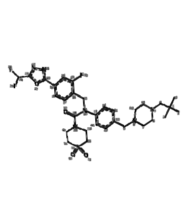 CC(C)(C)CN1CCN(Cc2ccc(N(Cc3ccc(-c4nnc(C(F)F)o4)cc3F)C(=O)N3CCS(=O)(=O)CC3)cc2)CC1